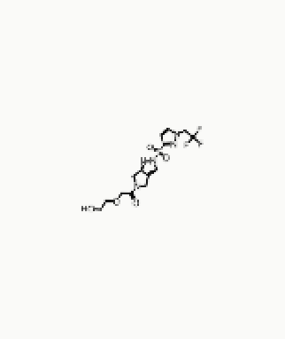 O=C(COCCO)N1Cc2cn(S(=O)(=O)c3ccn(CC(F)(F)F)n3)nc2C1